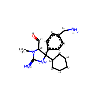 CN1C(=N)NC(c2ccc(CN)cc2)(C2CCCCC2)C1C=O